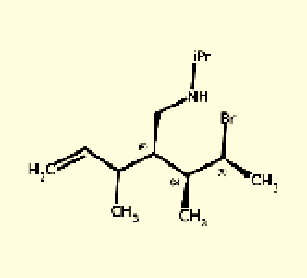 C=CC(C)[C@@H](CNC(C)C)[C@H](C)[C@H](C)Br